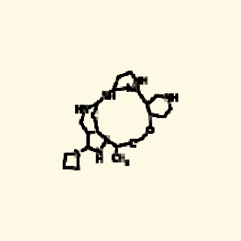 CC1CCOC2CCNCC2C2NCCC(NC3CC4C(CN3)C(N3CCC3)NN14)N2